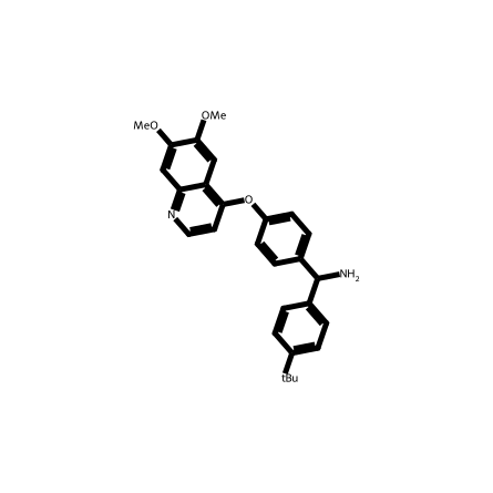 COc1cc2nccc(Oc3ccc(C(N)c4ccc(C(C)(C)C)cc4)cc3)c2cc1OC